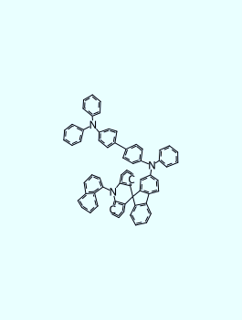 c1ccc(N(c2ccccc2)c2ccc(-c3ccc(N(c4ccccc4)c4ccc5c(c4)C4(c6ccccc6-5)c5ccccc5N(c5cccc6ccccc56)c5ccccc54)cc3)cc2)cc1